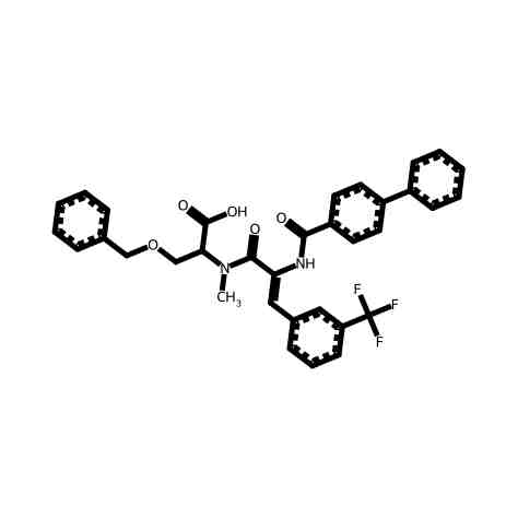 CN(C(=O)C(=Cc1cccc(C(F)(F)F)c1)NC(=O)c1ccc(-c2ccccc2)cc1)C(COCc1ccccc1)C(=O)O